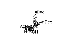 CCCCCCCCCCCCCCCCCC(=O)NC(CO[C@H]1O[C@H](CO)[C@H](O)[C@H](O)[C@H]1NC(C)=O)C(O)CCCCCCCCCCCCCCC